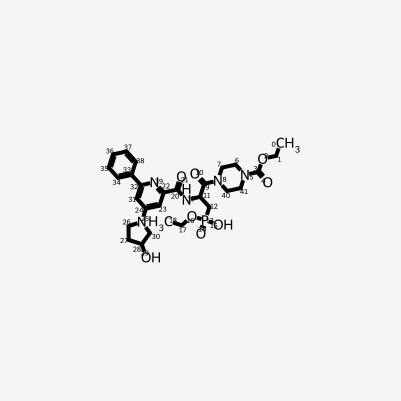 CCOC(=O)N1CCN(C(=O)C(CP(=O)(O)OCC)NC(=O)c2cc(N3CCC(O)C3)cc(-c3ccccc3)n2)CC1